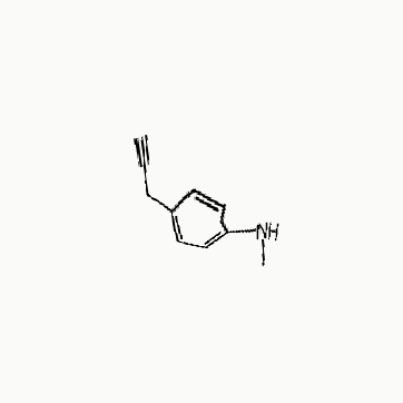 C#CCc1ccc(NC)cc1